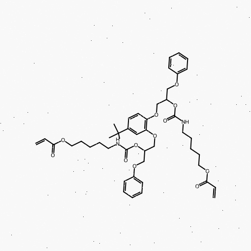 C=CC(=O)OCCCCCNC(=O)OC(COc1ccccc1)COc1ccc(C(C)(C)C)cc1OCC(COc1ccccc1)OC(=O)NCCCCCOC(=O)C=C